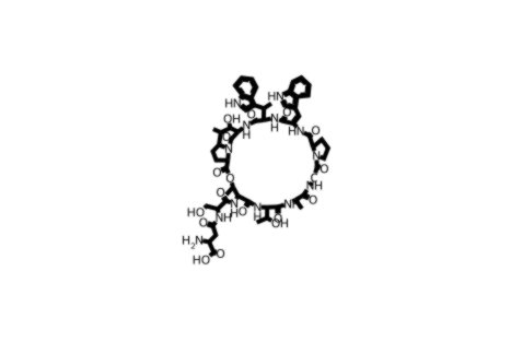 CC1NC(=O)C(C(C)O)NC(=O)C(NC(=O)C(CO)NC(=O)CC(N)C(=O)O)C(C)OC(=O)C2CCC3C(C)C(O)C(NC(=O)C(C(C)c4c[nH]c5ccccc45)NC(=O)/C(=C\c4c[nH]c5ccccc45)NC(=O)C4CCCN4C(=O)CNC1=O)C(=O)N23